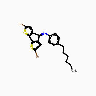 CCCCCCc1ccc(N=C2c3cc(Br)sc3-c3sc(Br)cc32)cc1